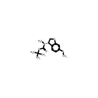 CSc1ccc2c(c1)OC[C@H]2N(C)C(=O)OC(C)(C)C